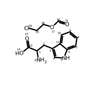 NC(Cc1c[nH]c2ccccc12)C(=O)O.O=[C]OCCCl